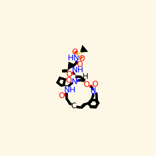 C=C[C@@H]1C[C@]1(NC(=O)[C@@H]1C[C@@H]2CN1C(=O)[C@H](C1CCCC1)NC(=O)CCCC/C=C/c1cccc3c1CN(C3)C(=O)O2)C(=O)NS(=O)(=O)C1CC1